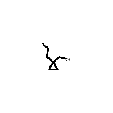 CCCC1(CO)CC1